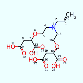 C=CCN(CCOC(CC(=O)O)C(=O)O)CCOC(CC(=O)O)C(=O)O